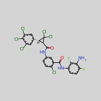 Nc1c(F)ccc(NC(=O)c2cc(NC(=O)C3[C@H](c4cc(Cl)c(Cl)c(Cl)c4)C3(Cl)Cl)ccc2Cl)c1F